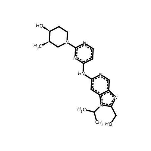 CC(C)n1c(CO)nc2cnc(Nc3ccnc(N4CC[C@H](O)[C@H](C)C4)n3)cc21